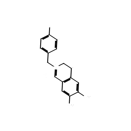 COc1cc2c(cc1OC)CC[N+](Cc1ccc(C)cc1)=C2.[Cl-]